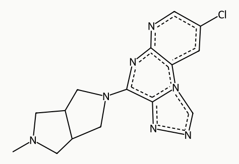 CN1CC2CN(c3nc4ncc(Cl)cc4n4cnnc34)CC2C1